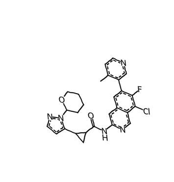 Cc1ccncc1-c1cc2cc(NC(=O)C3CC3c3ccnn3C3CCCCO3)ncc2c(Cl)c1F